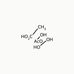 CC(=O)O.CC(=O)OO.OO